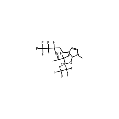 CN1C=CN(CCC(F)(F)C(F)(F)C(F)(F)F)C1OP(=O)(C(F)(F)C(F)(F)F)C(F)(F)C(F)(F)F